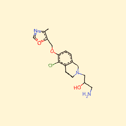 Cc1ncoc1COc1ccc2c(c1Cl)CCN(CC(O)CN)C2